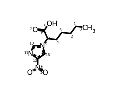 CCCCCC(C(=O)O)n1cnc([N+](=O)[O-])c1